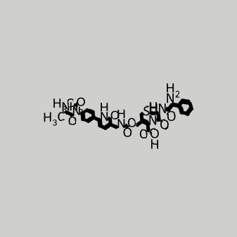 CC(=O)N(C(=O)C(C)N)c1ccc(-c2ccc(CNC(=O)OCC3=C(C(=O)O)N4C(=O)C(NC(=O)C(N)c5ccccc5)[C@@H]4SC3)c(=O)[nH]2)cc1